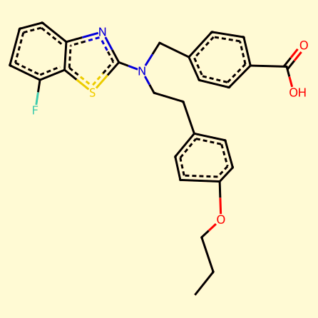 CCCOc1ccc(CCN(Cc2ccc(C(=O)O)cc2)c2nc3cccc(F)c3s2)cc1